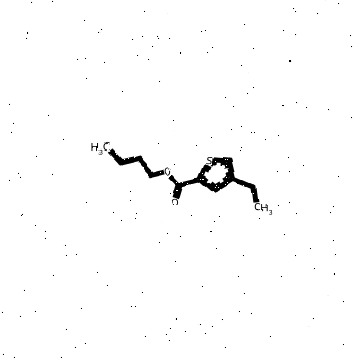 CCCCOC(=O)c1cc(CC)cs1